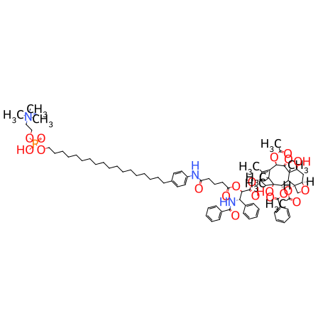 CC(=O)O[C@H]1C(=O)[C@@]2(C)[C@H]([C@H](OC(=O)c3ccccc3)[C@]3(O)C[C@H](OC(=O)[C@H](OC(=O)CCCC(=O)Nc4ccc(CCCCCCCCCCCCCCCCCCOP(=O)(O)OCC[N+](C)(C)C)cc4)[C@@H](NC(=O)c4ccccc4)c4ccccc4)C(C)=C1C3(C)C)[C@]1(OC(C)=O)CO[C@@H]1C[C@@H]2O